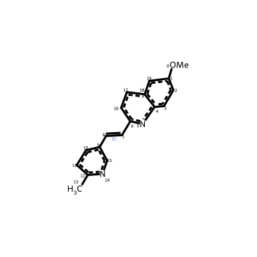 COc1ccc2nc(/C=C/c3ccc(C)nc3)ccc2c1